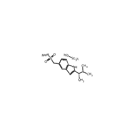 CNS(=O)(=O)Cc1ccc2[nH]c(C(C)N(C)C)cc2c1.O=S(=O)(O)O